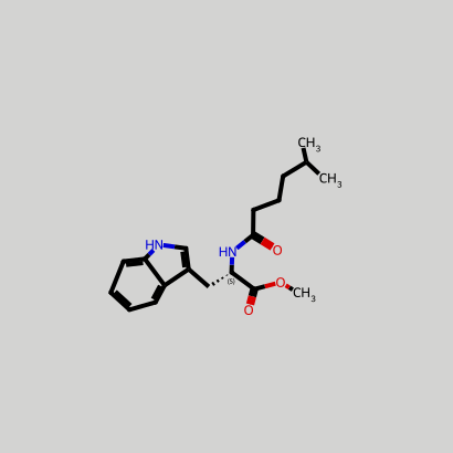 COC(=O)[C@H](Cc1c[nH]c2ccccc12)NC(=O)CCCC(C)C